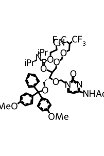 COc1ccc(C(OC[C@@H](OCn2ccc(NC(C)=O)nc2=O)C(COCOCC(C(F)(F)F)C(F)(F)F)OP(OCCC#N)N(C(C)C)C(C)C)(c2ccccc2)c2ccc(OC)cc2)cc1